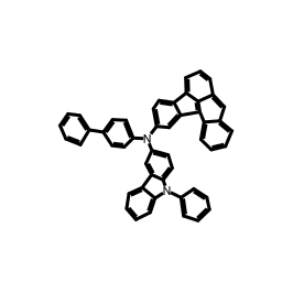 c1ccc(-c2ccc(N(c3ccc4c(c3)-c3c5ccccc5cc5cccc-4c35)c3ccc4c(c3)c3ccccc3n4-c3ccccc3)cc2)cc1